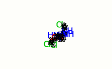 N=N/C(=C\Nc1cccc(Cl)c1)Cn1c(=N)n(CC(O)c2ccc(Cl)c(Cl)c2)c2ccccc21